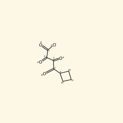 O=C(Cl)C(=O)C(=O)C(=O)C1CCC1